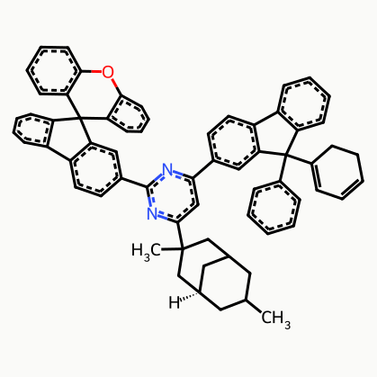 CC1CC2C[C@@H](C1)CC(C)(c1cc(-c3ccc4c(c3)C(C3=CC=CCC3)(c3ccccc3)c3ccccc3-4)nc(-c3ccc4c(c3)C3(c5ccccc5Oc5ccccc53)c3ccccc3-4)n1)C2